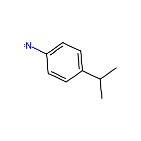 CC(C)c1ccc([N])cc1